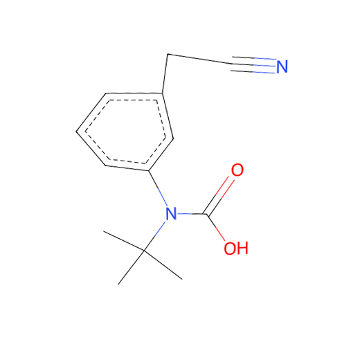 CC(C)(C)N(C(=O)O)c1cccc(CC#N)c1